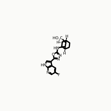 O=C(O)[C@@H]1C(Nc2nnc(-c3c[nH]c4ncc(F)cc34)o2)[C@H]2CC[C@@H]1CC2